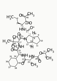 CCC[C@H](NC(=O)[C@@H]1[C@H]2CCC[C@H]2CN1C(=O)[C@@H](NC(=O)[C@@H](NC(=O)[C@@H](C)NC(=O)OC(C)C)C1CCCCC1)C(C)(C)C)C(=O)C(C)=O